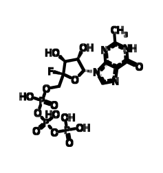 Cc1nc2c(ncn2[C@@H]2O[C@](F)(COP(=O)(O)OP(=O)(O)OP(=O)(O)O)[C@@H](O)[C@H]2O)c(=O)[nH]1